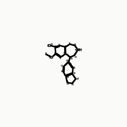 COc1cc2c(cc1Cl)CCNCC2c1ccc2c(c1)CCC2